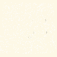 O=C1CC=CC=C1OC(F)(F)F